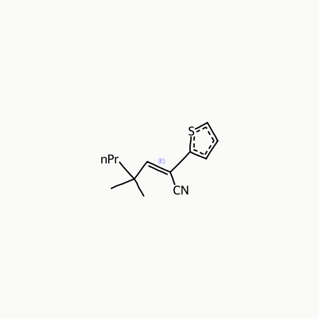 CCCC(C)(C)/C=C(\C#N)c1cccs1